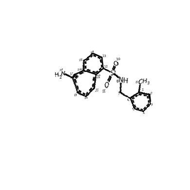 Cc1ccccc1CNS(=O)(=O)c1cccc2c(N)cccc12